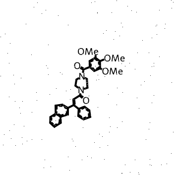 COc1cc(C(=O)N2CCN(C(=O)/C=C(\c3ccccc3)c3ccc4ccccc4c3)CC2)cc(OC)c1OC